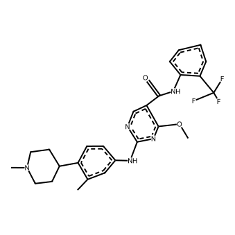 COc1nc(Nc2ccc(C3CCN(C)CC3)c(C)c2)ncc1C(=O)Nc1ccccc1C(F)(F)F